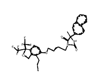 CCCc1c(OCCCCN2C(=O)NC(C)(c3ccc4ccccc4c3)C2=O)ccc2c1COC2(C(F)(F)F)C(F)(F)F